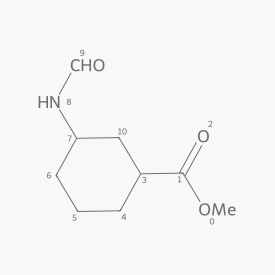 COC(=O)C1CCCC(NC=O)C1